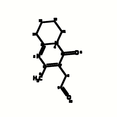 Cc1nc2n(c(=O)c1CC=O)CCCC2